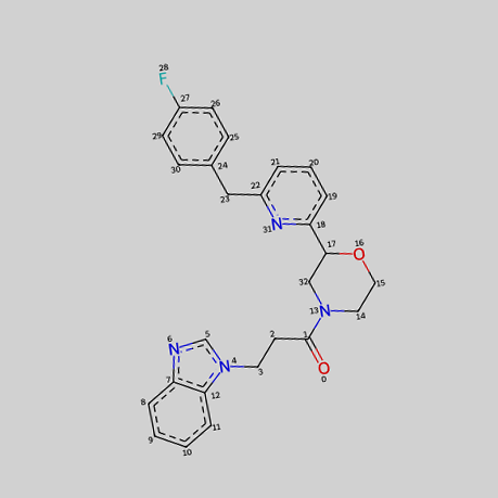 O=C(CCn1cnc2ccccc21)N1CCOC(c2cccc(Cc3ccc(F)cc3)n2)C1